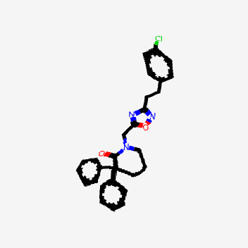 O=C1N(Cc2nc(CCc3ccc(Cl)cc3)no2)CCCC1(c1ccccc1)c1ccccc1